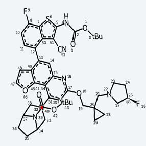 CC(C)(C)OC(=O)Nc1sc2c(F)ccc(-c3cc4nc(OCC5(CN6CC[C@@H](F)C6)CC5)nc(N5CC6CCC(C5)N6C(=O)OC(C)(C)C)c4c4occc34)c2c1C#N